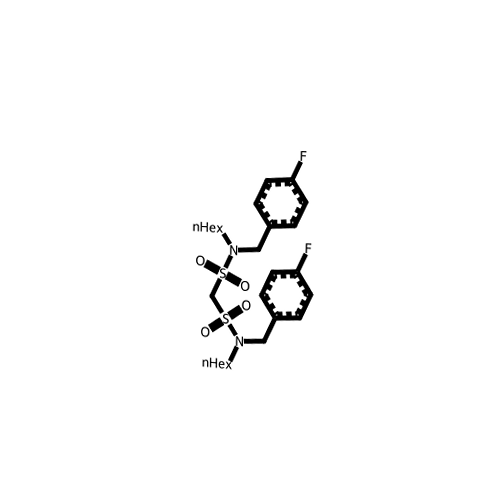 CCCCCCN(Cc1ccc(F)cc1)S(=O)(=O)CS(=O)(=O)N(CCCCCC)Cc1ccc(F)cc1